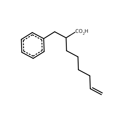 C=CCCCCC(Cc1ccccc1)C(=O)O